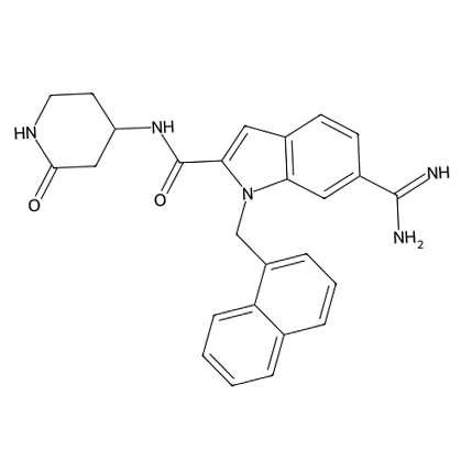 N=C(N)c1ccc2cc(C(=O)NC3CCNC(=O)C3)n(Cc3cccc4ccccc34)c2c1